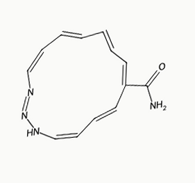 NC(=O)C1=C/C=C/C=C/C=C\N=N\N/C=C\C=C\1